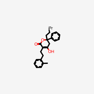 Cc1ccccc1CCC1=C(O)CC(CCC(C)C)(c2ccccc2)OC1=O